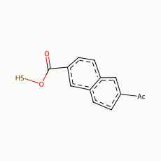 CC(=O)c1ccc2cc(C(=O)OS)ccc2c1